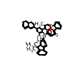 Cc1cccc(C)c1-c1cc(-c2ccc3ccccc3c2)cc(C)c1N(c1ccc2c(c1)C(C)(C)c1ccccc1-2)c1ccc2c(c1)oc1ccccc12